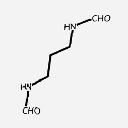 O=CNCCCNC=O